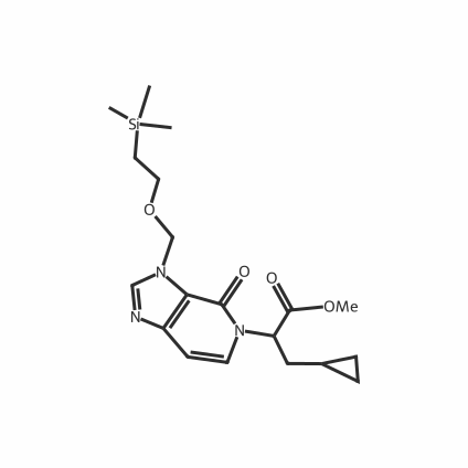 COC(=O)C(CC1CC1)n1ccc2ncn(COCC[Si](C)(C)C)c2c1=O